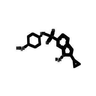 Cn1c(C2CC2)cc2ccc(S(=O)(=O)N[C@H]3CC[C@H](C(=O)O)CC3)cc21